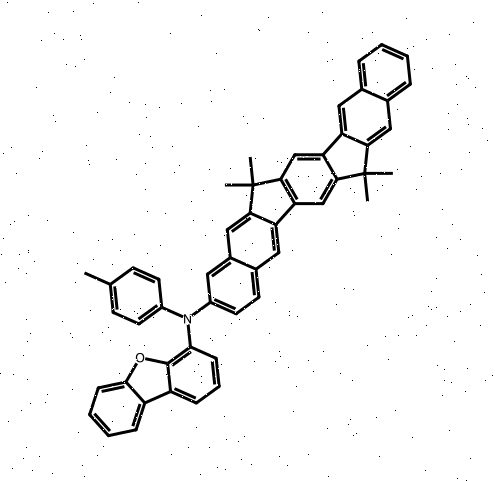 Cc1ccc(N(c2ccc3cc4c(cc3c2)C(C)(C)c2cc3c(cc2-4)C(C)(C)c2cc4ccccc4cc2-3)c2cccc3c2oc2ccccc23)cc1